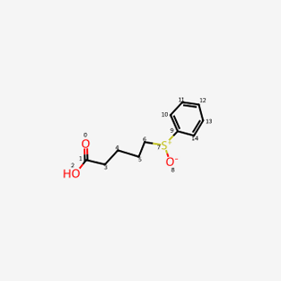 O=C(O)CCCC[S+]([O-])c1ccccc1